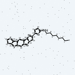 CCCCCCCCNc1ccc(-c2cc3sc4cc5sc6ccsc6c5cc4c3s2)s1